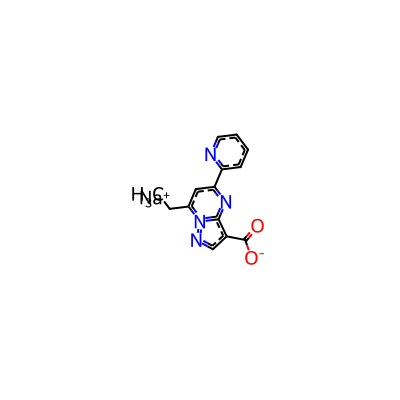 CCc1cc(-c2ccccn2)nc2c(C(=O)[O-])cnn12.[Na+]